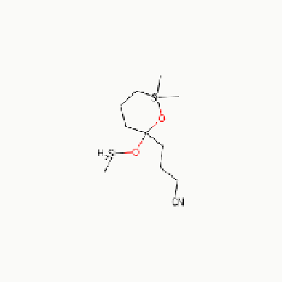 C[SiH2]OC1(CCCC#N)CCC[Si](C)(C)O1